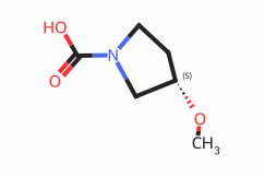 CO[C@H]1CCN(C(=O)O)C1